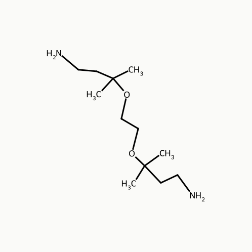 CC(C)(CCN)OCCOC(C)(C)CCN